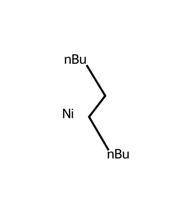 CC[CH]CCCCCCC.[Ni]